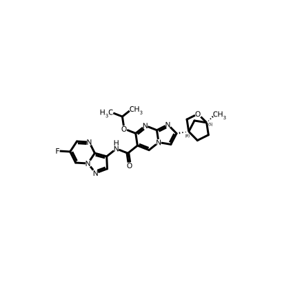 CC(C)Oc1nc2nc([C@@]34CC[C@@](C)(C3)OC4)cn2cc1C(=O)Nc1cnn2cc(F)cnc12